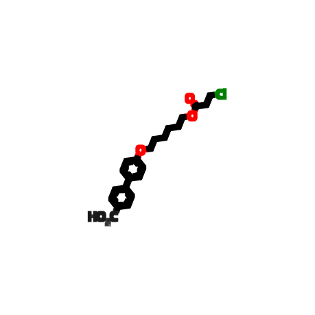 O=C(CCCl)OCCCCCCOc1ccc(-c2ccc(C(=O)O)cc2)cc1